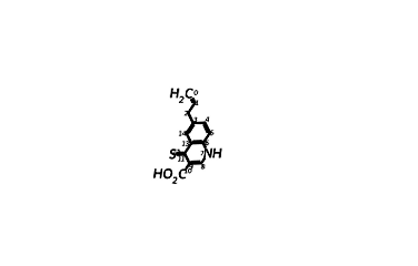 C=CCc1ccc2[nH]cc(C(=O)O)c(=S)c2c1